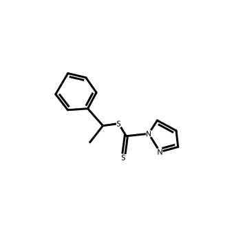 CC(SC(=S)n1cccn1)c1ccccc1